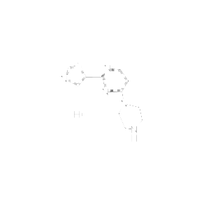 Cl.c1cc(N2CCNCC2)nc(-c2cncs2)n1